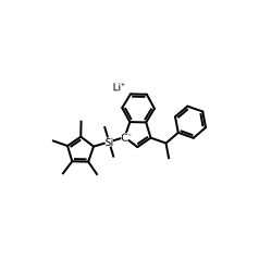 CC1=C(C)C([Si](C)(C)[c-]2cc(C(C)c3ccccc3)c3ccccc32)C(C)=C1C.[Li+]